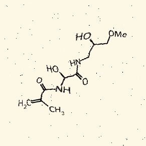 C=C(C)C(=O)NC(O)C(=O)NCC(O)COC